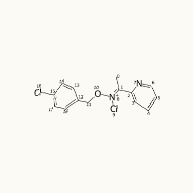 CC(c1ccccn1)=[N+](Cl)OCc1ccc(Cl)cc1